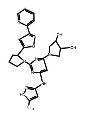 Cc1cc(Nc2cc(N3CC(O)C(O)C3)nc(N3CCCC3c3cc(-c4ccccn4)no3)n2)n[nH]1